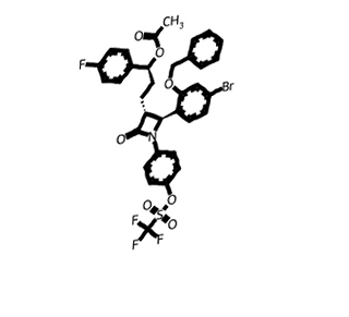 CC(=O)O[C@@H](CC[C@H]1C(=O)N(c2ccc(OS(=O)(=O)C(F)(F)F)cc2)[C@@H]1c1ccc(Br)cc1OCc1ccccc1)c1ccc(F)cc1